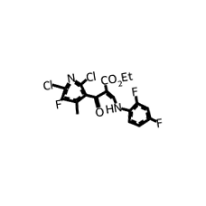 CCOC(=O)C(=CNc1ccc(F)cc1F)C(=O)c1c(Cl)nc(Cl)c(F)c1C